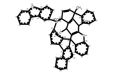 CC1C2=C3C(C)C4=C1C(C)(c1ccccc1)C=CC4(C)N(c1ccc4oc5ccccc5c4c1)c1ccc4c(c1)C3(c1ccccc1O2)c1ccc2ccccc2c1-4